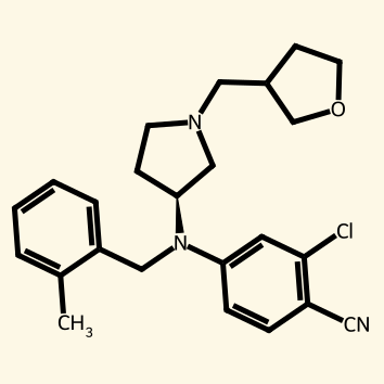 Cc1ccccc1CN(c1ccc(C#N)c(Cl)c1)[C@H]1CCN(CC2CCOC2)C1